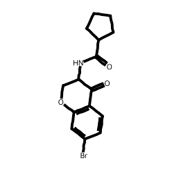 O=C(NC1COc2cc(Br)ccc2C1=O)C1CCCC1